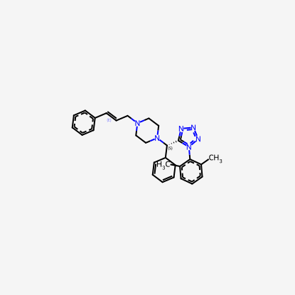 Cc1cccc(C)c1-n1nnnc1[C@H](C1C=CC=CC1)N1CCN(C/C=C/c2ccccc2)CC1